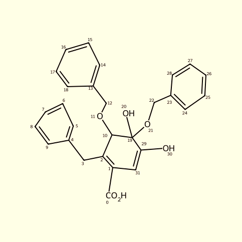 O=C(O)C1=C(Cc2ccccc2)C(OCc2ccccc2)C(O)(OCc2ccccc2)C(O)=C1